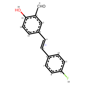 O=Cc1cc(/C=C/c2ccc(F)cc2)ccc1O